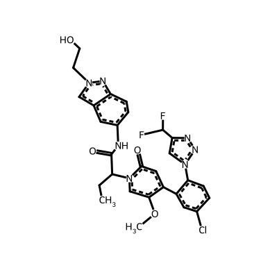 CCC(C(=O)Nc1ccc2nn(CCO)cc2c1)n1cc(OC)c(-c2cc(Cl)ccc2-n2cc(C(F)F)nn2)cc1=O